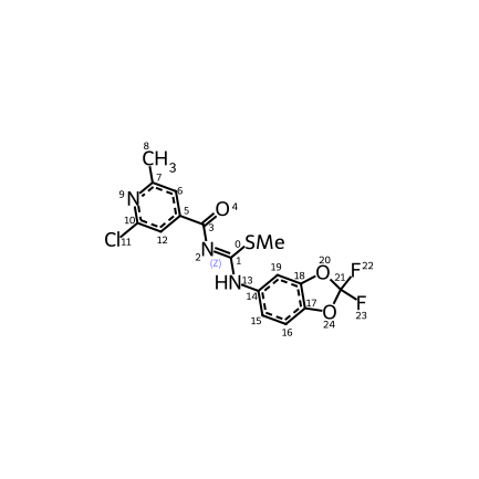 CS/C(=N\C(=O)c1cc(C)nc(Cl)c1)Nc1ccc2c(c1)OC(F)(F)O2